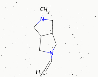 C=CN1CC2CN(C)CC2C1